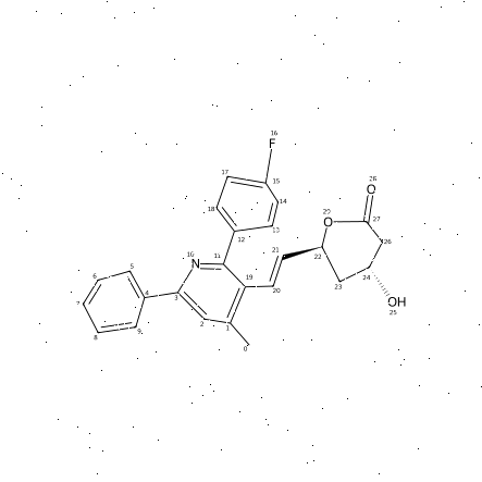 Cc1cc(-c2ccccc2)nc(-c2ccc(F)cc2)c1/C=C/[C@@H]1C[C@@H](O)CC(=O)O1